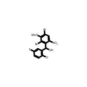 COc1c(Br)cc([N+](=O)[O-])c(C(O)c2cc(F)ccc2Cl)c1Br